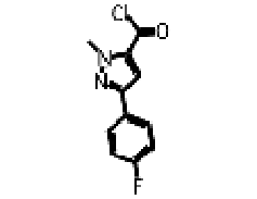 Cn1nc(-c2ccc(F)cc2)cc1C(=O)Cl